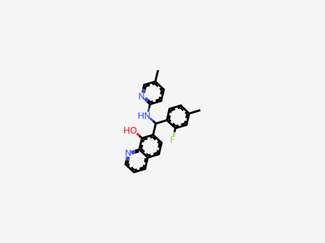 Cc1ccc(NC(c2ccc(C)cc2F)c2ccc3cccnc3c2O)nc1